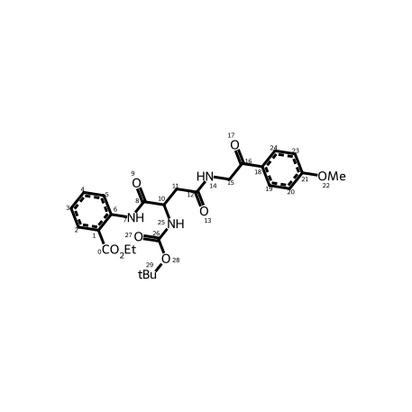 CCOC(=O)c1ccccc1NC(=O)C(CC(=O)NCC(=O)c1ccc(OC)cc1)NC(=O)OC(C)(C)C